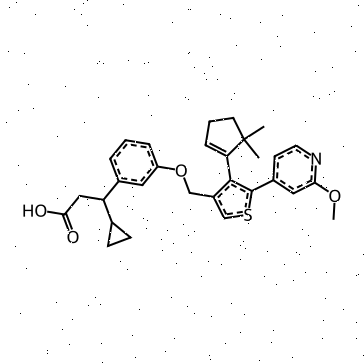 COc1cc(-c2scc(COc3cccc(C(CC(=O)O)C4CC4)c3)c2C2=CCCC2(C)C)ccn1